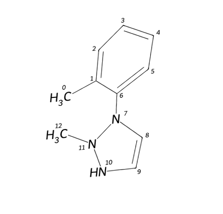 Cc1ccccc1N1C=CNN1C